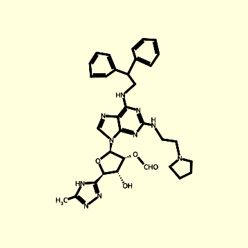 Cc1nnc([C@H]2O[C@@H](n3cnc4c(NCC(c5ccccc5)c5ccccc5)nc(NCCN5CCCC5)nc43)[C@H](OC=O)[C@@H]2O)[nH]1